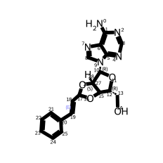 Nc1ncnc2c1ncn2[C@@H]1O[C@H](CO)C2OC(/C=C/c3ccccc3)O[C@@H]21